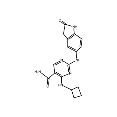 NC(=O)c1cnc(Nc2ccc3c(c2)CC(=O)N3)nc1NC1CCC1